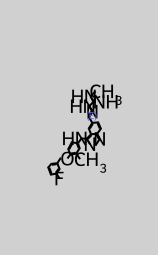 CNC(=N)N/N=C/c1ccc2ncnc(Nc3ccc(OCc4cccc(F)c4)c(C)c3)c2c1